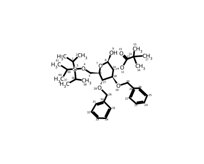 CC(C)[Si](OC[C@H]1O[C@@H](O)[C@H](OC(=O)C(C)(C)C)[C@@H](OCc2ccccc2)[C@@H]1OCc1ccccc1)(C(C)C)C(C)C